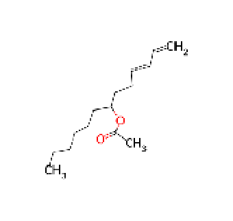 C=C/C=C/CCC(CCCCCC)OC(C)=O